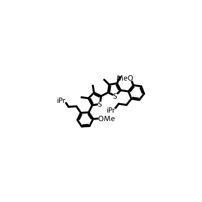 COc1cccc(CCC(C)C)c1-c1sc(-c2sc(-c3c(CCC(C)C)cccc3OC)c(C)c2C)c(C)c1C